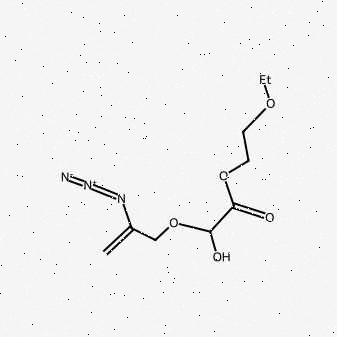 C=C(COC(O)C(=O)OCCOCC)N=[N+]=[N-]